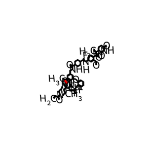 C=CC(=O)N1CCN(c2nc(=O)n3c4nc(c(F)cc24)c2c(F)cccc2oc2cc(CNC(=O)C4CCC(CNc5cc(C=O)c(C(=O)N(C)C6CCC(=O)NC6=O)cc5F)CC4)cc(C(C)C)c23)C(C)C1